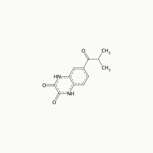 CC(C)C(=O)c1ccc2[nH]c(=O)c(=O)[nH]c2c1